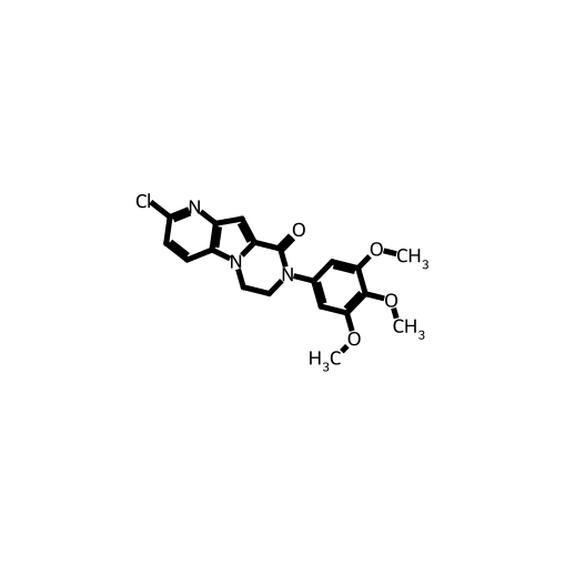 COc1cc(N2CCn3c(cc4nc(Cl)ccc43)C2=O)cc(OC)c1OC